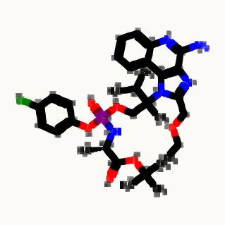 CCOCc1nc2c(N)nc3ccccc3c2n1C(C)(COP(=O)(N[C@@H](C)C(=O)OC(C)(C)C)Oc1ccc(Cl)cc1)C(C)C